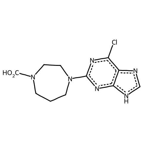 O=C(O)N1CCCN(c2nc(Cl)c3nc[nH]c3n2)CC1